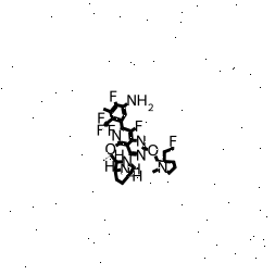 Cc1c(F)c(N)cc(-c2nc3c4c(nc(OC[C@@]5(CCF)CCCN5C)nc4c2F)N2C[C@H]4CC[C@H](N4)[C@H]2[C@H](C)O3)c1C(F)(F)F